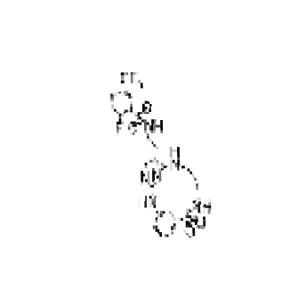 O=S1(=O)NCCCNc2nc(ncc2CCNS(=O)(=O)c2cc(C(F)(F)F)ccc2F)Nc2cccc1c2